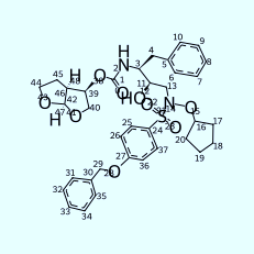 O=C(N[C@@H](Cc1ccccc1)[C@H](O)CN(OC1CCCC1)S(=O)(=O)c1ccc(OCc2ccccc2)cc1)O[C@H]1CO[C@H]2OCC[C@H]21